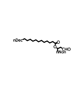 CCCCCCCCCCCCCCCCCCCCCC(=O)OC(CC=O)CCCCCCCCC